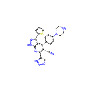 N#Cc1c(-c2cnn[nH]2)nc2[nH]nc(-c3cccs3)c2c1-c1ccc(N2CCNCC2)cc1